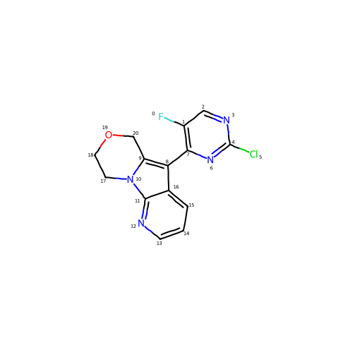 Fc1cnc(Cl)nc1-c1c2n(c3ncccc13)CCOC2